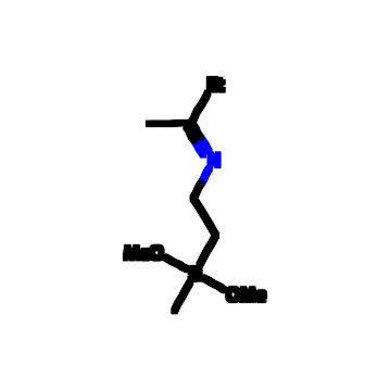 CCC(C)=NCC[Si](C)(OC)OC